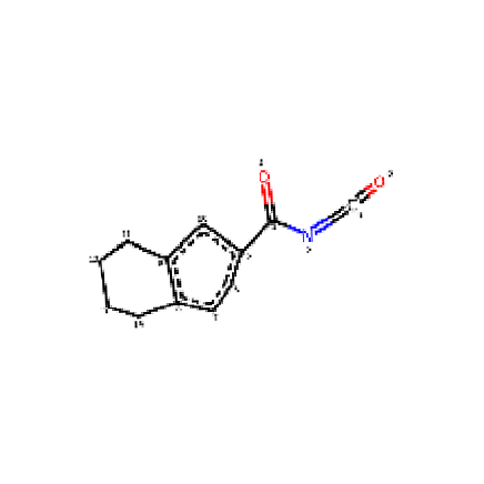 O=C=NC(=O)c1ccc2c(c1)CCCC2